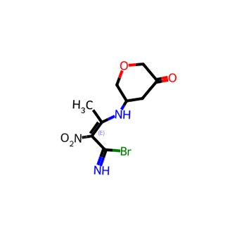 C/C(NC1COCC(=O)C1)=C(/C(=N)Br)[N+](=O)[O-]